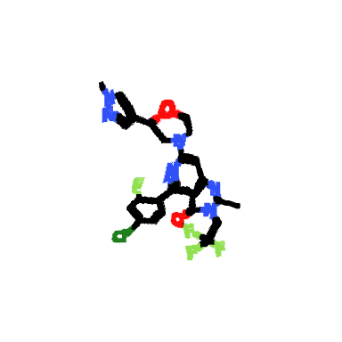 Cc1nc2cc(N3CCOC(c4cnn(C)c4)C3)nc(-c3ccc(Cl)cc3F)c2c(=O)n1CC(F)(F)F